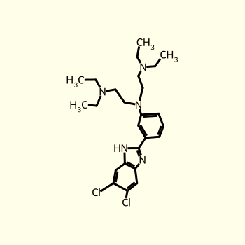 CCN(CC)CCN(CCN(CC)CC)c1cccc(-c2nc3cc(Cl)c(Cl)cc3[nH]2)c1